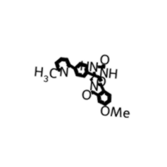 COc1ccc2c(c1)C(=O)N(C[C@@]1(c3ccc(-c4cccc(C)n4)cc3)NC(=O)NC1=O)C2